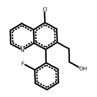 OCCc1cc(Cl)c2cccnc2c1-c1ccccc1F